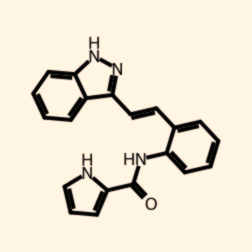 O=C(Nc1ccccc1C=Cc1n[nH]c2ccccc12)c1ccc[nH]1